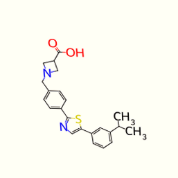 CC(C)c1cccc(-c2cnc(-c3ccc(CN4CC(C(=O)O)C4)cc3)s2)c1